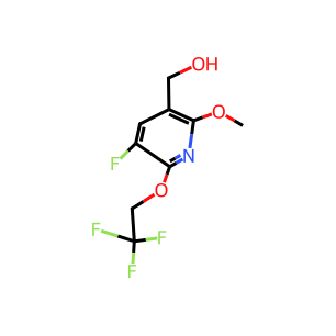 COc1nc(OCC(F)(F)F)c(F)cc1CO